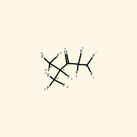 O=C(C(F)(F)[C](F)F)C(F)(C(F)(F)F)C(F)(F)F